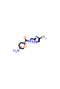 N[C@@H]1CC[C@@H](C(=O)NCc2nc(C(F)(F)F)c[nH]2)OC1